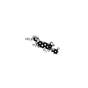 CC(C)C1=C2[C@H]3CC[C@@H]4[C@@]5(C)CC[C@H](OC(=O)CC(C)(C)C(=O)O)C(C)(C)[C@@H]5CC[C@@]4(C)[C@]3(C)CC[C@@]2(C(=O)NCc2cccc(Cl)c2)CC1=O